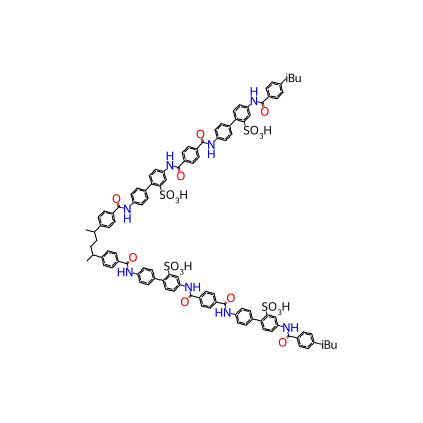 CCC(C)c1ccc(C(=O)Nc2ccc(-c3ccc(NC(=O)c4ccc(C(=O)Nc5ccc(-c6ccc(NC(=O)c7ccc(C(C)CCC(C)c8ccc(C(=O)Nc9ccc(-c%10ccc(NC(=O)c%11ccc(C(=O)Nc%12ccc(-c%13ccc(NC(=O)c%14ccc(C(C)CC)cc%14)cc%13S(=O)(=O)O)cc%12)cc%11)cc%10S(=O)(=O)O)cc9)cc8)cc7)cc6)c(S(=O)(=O)O)c5)cc4)cc3)c(S(=O)(=O)O)c2)cc1